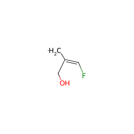 [CH2]C(=CF)CO